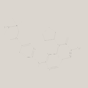 CC1(C)CN(c2ccc(Nc3ncc4cc(N)c(=O)n(C5CCCC5)c4n3)nc2)CCN1